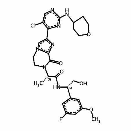 COc1cc(F)cc([C@@H](CO)NC(=O)[C@H](C)N2CCn3cc(-c4nc(NC5CCOCC5)ncc4Cl)nc3C2=O)c1